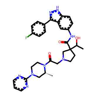 CC(O)C1(C(=O)Nc2ccc3[nH]nc(-c4ccc(F)cc4)c3c2)CCN(CC(=O)N2CCN(c3ncccn3)C[C@H]2C)C1